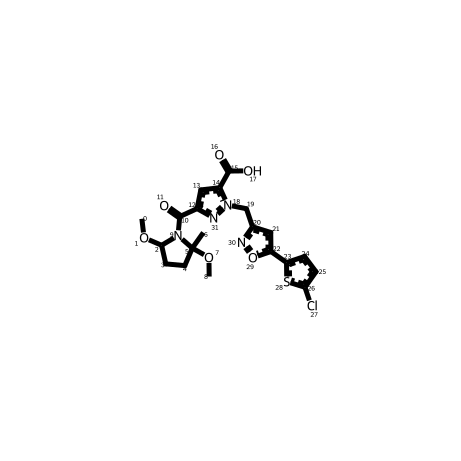 COC1CCC(C)(OC)N1C(=O)c1cc(C(=O)O)n(Cc2cc(-c3ccc(Cl)s3)on2)n1